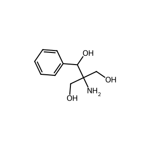 NC(CO)(CO)C(O)c1ccccc1